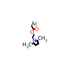 CC(=O)CC(=O)OCCn1c(C)ccc1C